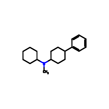 CN(C1CCCCC1)C1CCC(c2ccccc2)CC1